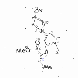 CO/C=C(\Oc1cc(-n2ccc(C#N)n2)ccc1C)C(=O)OC